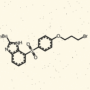 CCCCc1nc2cccc(S(=O)(=O)c3ccc(OCCCBr)cc3)c2[nH]1